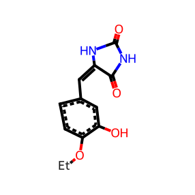 CCOc1ccc(C=C2NC(=O)NC2=O)cc1O